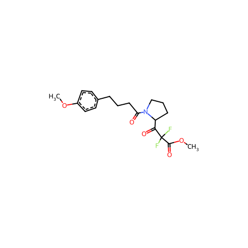 COC(=O)C(F)(F)C(=O)C1CCCN1C(=O)CCCc1ccc(OC)cc1